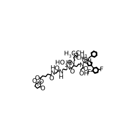 CC(C)(C)C(c1cc(-c2cc(F)ccc2F)cn1Cc1ccccc1)N(CCC(C(=O)NCCNC(=O)CNC(=O)CCCC(=O)ON1C(=O)CCC1=O)N(CC[Si](C)(C)C)C(=O)O)C(=O)CO